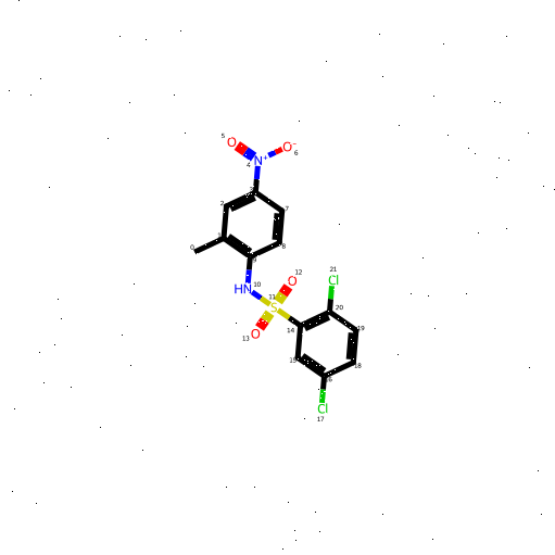 Cc1cc([N+](=O)[O-])ccc1NS(=O)(=O)c1cc(Cl)ccc1Cl